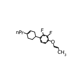 C/C=C/Oc1ccc(C2CC=C(CCC)CC2)c(F)c1F